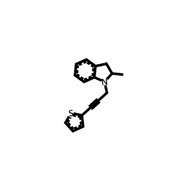 CC1Cc2ccccc2N1CC#Cc1cccs1